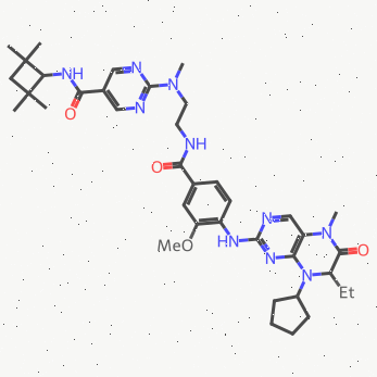 CCC1C(=O)N(C)c2cnc(Nc3ccc(C(=O)NCCN(C)c4ncc(C(=O)NC5C(C)(C)CC5(C)C)cn4)cc3OC)nc2N1C1CCCC1